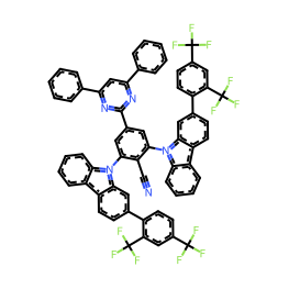 N#Cc1c(-n2c3ccccc3c3ccc(-c4ccc(C(F)(F)F)cc4C(F)(F)F)cc32)cc(-c2nc(-c3ccccc3)cc(-c3ccccc3)n2)cc1-n1c2ccccc2c2ccc(-c3ccc(C(F)(F)F)cc3C(F)(F)F)cc21